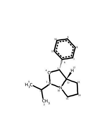 CC(C)P1O[C@H](c2ccccc2)[C@@H]2CCCN21